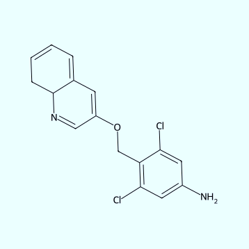 Nc1cc(Cl)c(COC2=CC3=CC=CCC3N=C2)c(Cl)c1